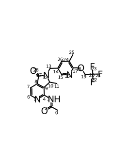 CC(=O)Nc1nccc2c1C(C)N(Cc1cnc(OCC(F)(F)F)c(C)c1)C2=O